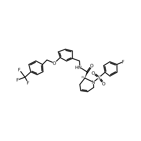 O=C(NCc1cccc(OCc2ccc(C(F)(F)F)cc2)c1)[C@@H]1CC=CCN1S(=O)(=O)c1ccc(F)cc1